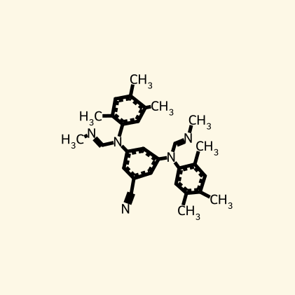 C/N=C/N(c1cc(C#N)cc(N(/C=N/C)c2cc(C)c(C)cc2C)c1)c1cc(C)c(C)cc1C